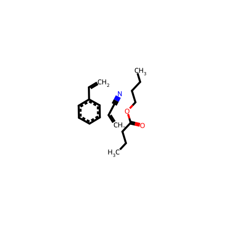 C=CC#N.C=Cc1ccccc1.CCCCOC(=O)CCC